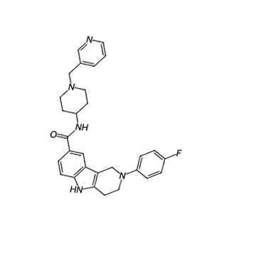 O=C(NC1CCN(Cc2cccnc2)CC1)c1ccc2[nH]c3c(c2c1)CN(c1ccc(F)cc1)CC3